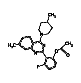 CC(=O)Oc1cccc(F)c1-c1nc(N2CCC(C)CC2)c2ccc(C)cc2n1